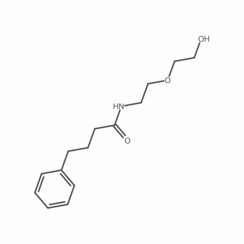 O=C(CCCc1ccccc1)NCCOCCO